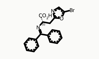 O=C(O)[C@H](Cc1ncc(Br)o1)N=C(c1ccccc1)c1ccccc1